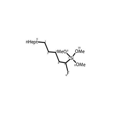 CCCCCCCCCCCC(F)[Si](OC)(OC)OC